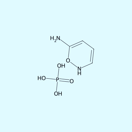 NC1=CC=CNO1.O=P(O)(O)O